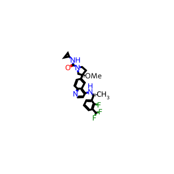 CO[C@]1(c2ccc3nccc(N[C@H](C)c4cccc(C(F)F)c4F)c3c2)CCN(C(=O)NC2CC2)C1